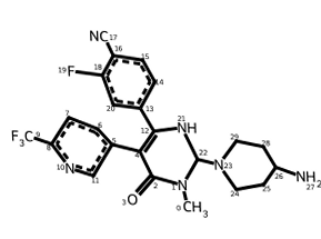 CN1C(=O)C(c2ccc(C(F)(F)F)nc2)=C(c2ccc(C#N)c(F)c2)NC1N1CCC(N)CC1